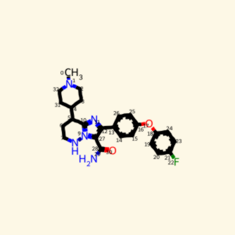 CN1CCC(C2CCNn3c2nc(-c2ccc(Oc4ccc(F)cc4)cc2)c3C(N)=O)CC1